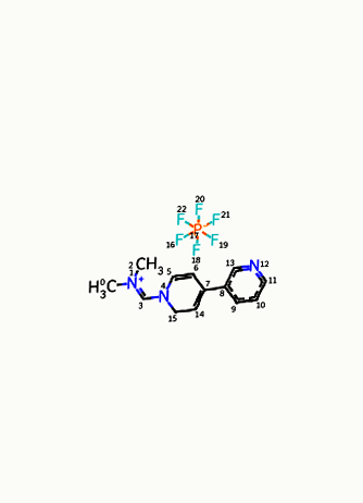 C[N+](C)=CN1C=CC(c2cccnc2)=CC1.F[P-](F)(F)(F)(F)F